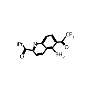 Bc1c(C(=O)C(F)(F)F)ccc2nc(C(=O)C(C)C)ccc12